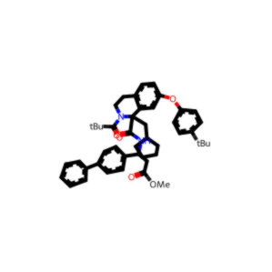 COC(=O)CC(NC(=O)C1(CC2CCCC2)c2cc(Oc3ccc(C(C)(C)C)cc3)ccc2CCN1C(=O)C(C)(C)C)c1ccc(-c2ccccc2)cc1